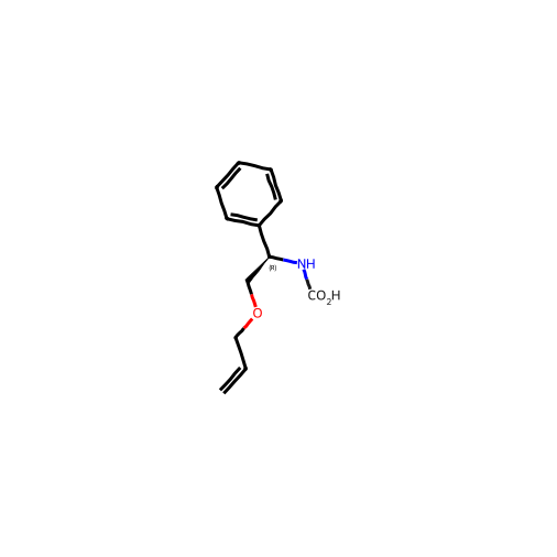 C=CCOC[C@H](NC(=O)O)c1ccccc1